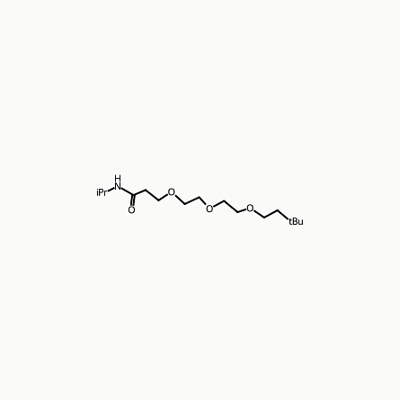 CC(C)NC(=O)CCOCCOCCOCCC(C)(C)C